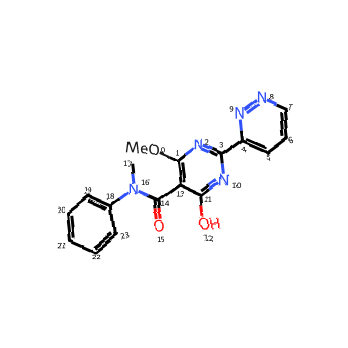 COc1nc(-c2cccnn2)nc(O)c1C(=O)N(C)c1ccccc1